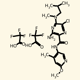 COc1cc(C)c(NC(=O)c2nc(Cl)c(N(C)CC(C)C)nc2N)cn1.O=C(O)C(F)(F)F.O=C(O)C(F)(F)F